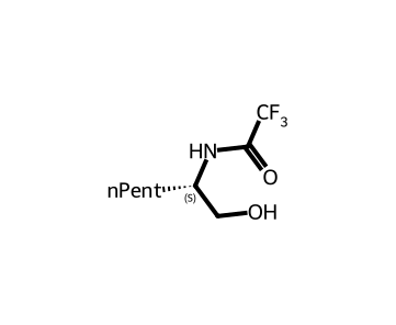 CCCCC[C@@H](CO)NC(=O)C(F)(F)F